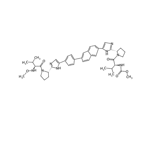 CON[C@H](C(=O)N1CCC[C@H]1c1ncc(-c2ccc(-c3ccc4cc(-c5cnc([C@@H]6CCCN6C(=O)[C@@H](NC(=O)OC)C(C)C)[nH]5)ccc4c3)cc2)[nH]1)C(C)C